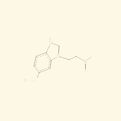 CCOC(=O)c1ccc2c(c1)N(CCN(CC)CC)CN2